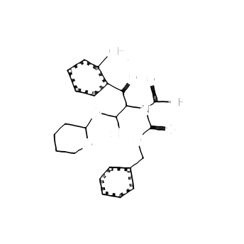 [CH2]c1ccccc1C(=O)C(C(OC1CCCCO1)C(F)(F)F)N(C(=O)OCc1ccccc1)C(=O)C(F)(F)F